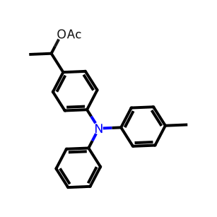 CC(=O)OC(C)c1ccc(N(c2ccccc2)c2ccc(C)cc2)cc1